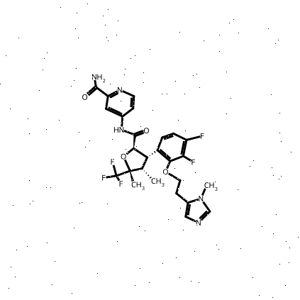 C[C@H]1[C@@H](c2ccc(F)c(F)c2OCCc2cncn2C)[C@H](C(=O)Nc2ccnc(C(N)=O)c2)O[C@@]1(C)C(F)(F)F